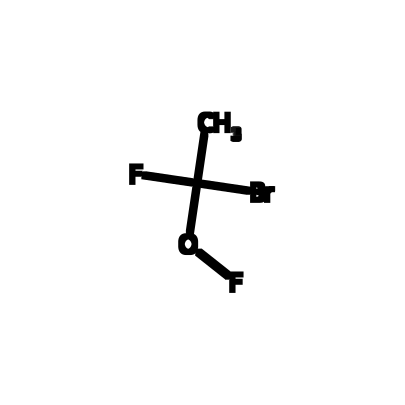 CC(F)(Br)OF